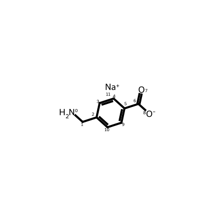 NCc1ccc(C(=O)[O-])cc1.[Na+]